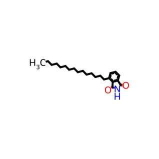 CCCCCCCCCCCCCCCc1cccc2c1C(=O)NC2=O